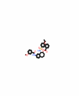 CCc1ccc(S(=O)(=O)N[C@H]2c3cc(NC(=O)c4cccc(OC)c4)ccc3CCC[C@@H]2OC(=O)c2cccc(OC)c2)cc1